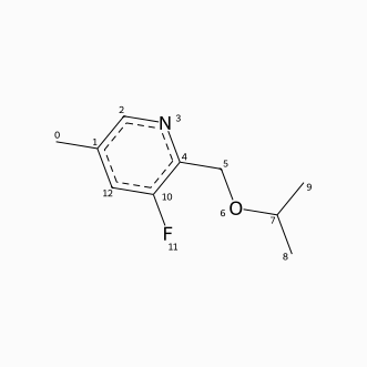 Cc1cnc(COC(C)C)c(F)c1